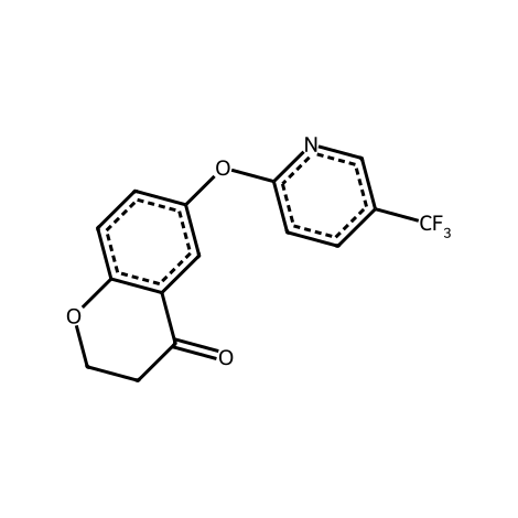 O=C1CCOc2ccc(Oc3ccc(C(F)(F)F)cn3)cc21